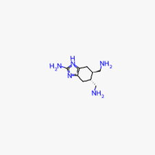 NC[C@@H]1Cc2nc(N)[nH]c2C[C@H]1CN